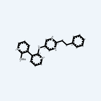 COc1ncccc1-c1cccnc1Oc1cnc(CCc2ccccc2)nc1